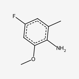 COc1cc(F)cc(C)c1N